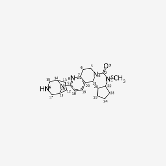 CN(C(=O)N1CCc2nc(N3C4CCC3CNC4)ccc2C1)C1CCCC1